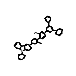 CC(=O)c1cc(-c2cc(-c3ccccc3)cc(-c3ccccc3)c2)ccc1-c1ccc(-c2ccc3c(c2)c2ccccc2n3-c2ccccc2)cc1C